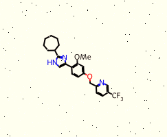 COc1cc(OCc2ccc(C(F)(F)F)cn2)ccc1-c1c[nH]c(C2CCCCCC2)n1